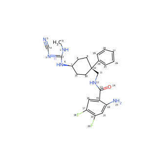 CN/C(=N\C#N)N[C@H]1CC[C@](CNC(=O)c2cc(F)c(F)cc2N)(c2ccccc2)CC1